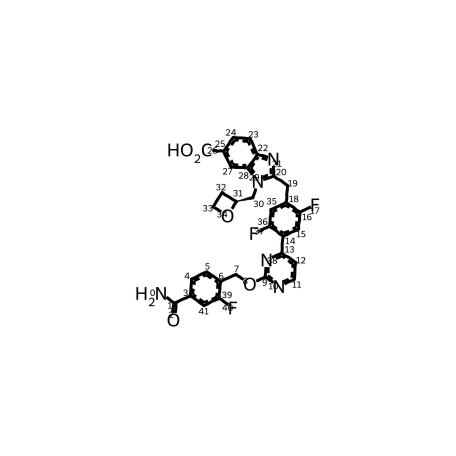 NC(=O)c1ccc(COc2nccc(-c3cc(F)c(Cc4nc5ccc(C(=O)O)cc5n4C[C@@H]4CCO4)cc3F)n2)c(F)c1